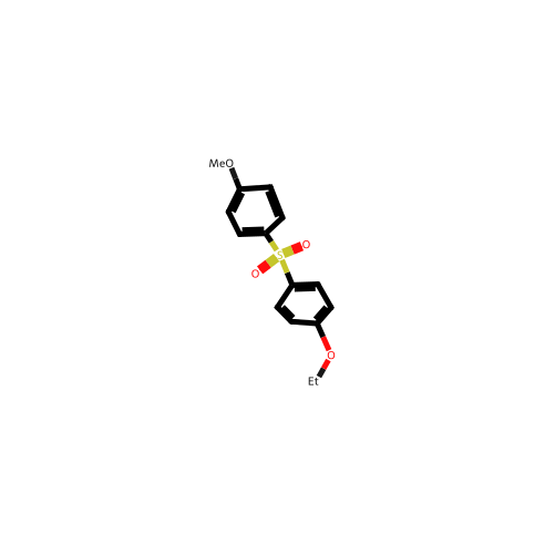 CCOc1ccc(S(=O)(=O)c2ccc(OC)cc2)cc1